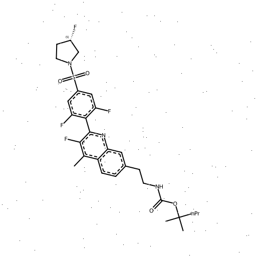 CCCC(C)(C)OC(=O)NCCc1ccc2c(C)c(F)c(-c3c(F)cc(S(=O)(=O)N4CC[C@H](F)C4)cc3F)nc2c1